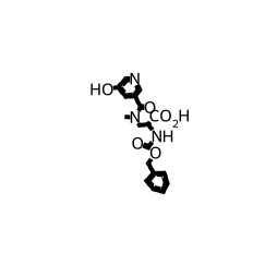 CN(CC(NC(=O)OCc1ccccc1)C(=O)O)C(=O)c1cncc(O)c1